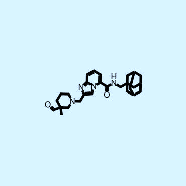 CC1([C]=O)CCCN(Cc2cn3c(C(=O)NCC45CC6CC(CC(C6)C4)C5)cccc3n2)C1